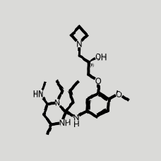 CCCC1(Nc2ccc(OC)c(OC[C@H](O)CN3CCC3)c2)NC(C)CC(NC)N1CC